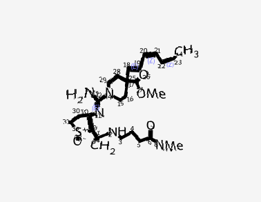 C=C(NCCCC(=O)NC)C1=C(/N=C(\N)N2CCC(/C=C/C=C\C=C/C)(C(=O)OC)CC2)CC[S+]1[O-]